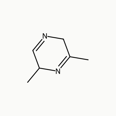 CC1=NC(C)C=NC1